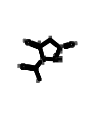 CC(=O)N1N[N+](=O)CC1=O